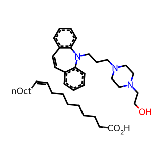 CCCCCCCC/C=C\CCCCCCCC(=O)O.OCCN1CCN(CCCN2c3ccccc3C=Cc3ccccc32)CC1